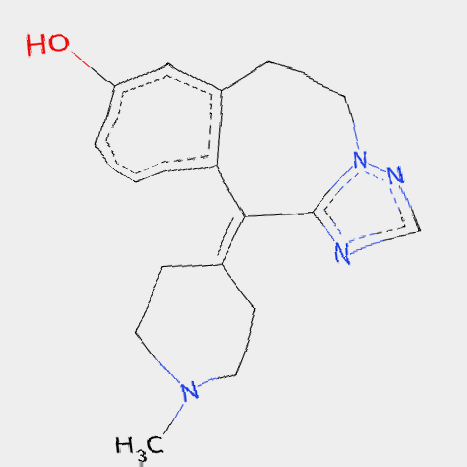 CN1CCC(=C2c3ccc(O)cc3CCn3ncnc32)CC1